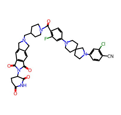 N#Cc1ccc(N2CCC3(CCN(c4ccc(C(=O)N5CCC(CN6Cc7cc8c(cc7C6)C(=O)N(C6CCC(=O)NC6=O)C8=O)CC5)c(F)c4)CC3)C2)cc1Cl